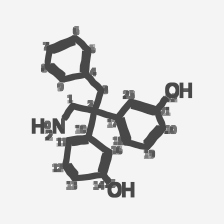 NCC(Cc1ccccc1)(c1cccc(O)c1)c1cccc(O)c1